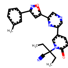 CCC(C#N)(CC)n1cc(-c2cncc(-c3cc(-c4cccc(C)c4)no3)n2)ccc1=O